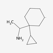 CC(N)C1(C2CC2)C[CH]CCC1